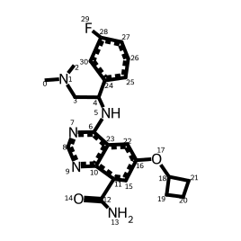 CN(C)CC(Nc1ncnc2c(C(N)=O)cc(OC3CCC3)cc12)c1cccc(F)c1